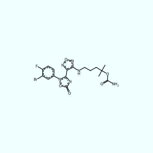 CC(C)(CCCNc1nonc1-c1nc(=O)on1-c1ccc(F)c(Br)c1)OC(N)=O